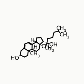 CC(C)CCCC(C)(O)[C@H]1CC[C@H]2C3=CC=C4C[C@@H](O)CC[C@@]4(C)[C@@H]3CC[C@]12C